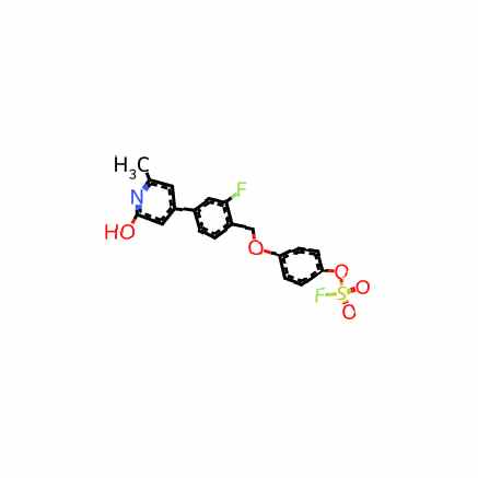 Cc1cc(-c2ccc(COc3ccc(OS(=O)(=O)F)cc3)c(F)c2)cc(O)n1